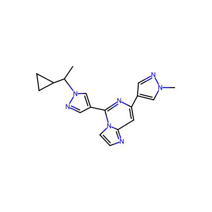 CC(C1CC1)n1cc(-c2nc(-c3cnn(C)c3)cc3nccn23)cn1